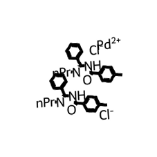 CCCN=C(NC(=O)c1ccc(C)cc1)c1ccccc1.CCCN=C(NC(=O)c1ccc(C)cc1)c1ccccc1.[Cl-].[Cl-].[Pd+2]